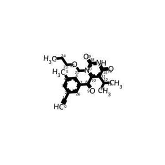 C#Cc1cc(C)cc(C(=O)c2c(C(C)C)c(=O)[nH]c(=O)n2COCCC)c1